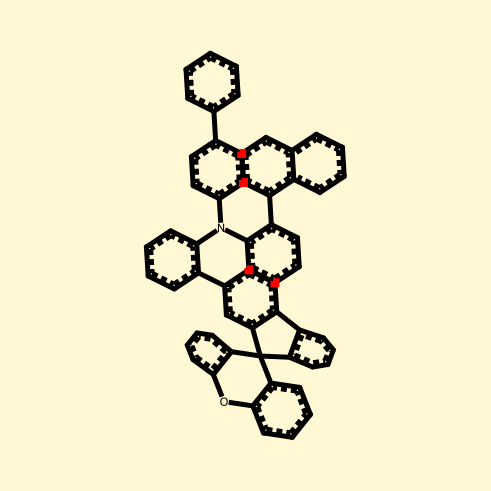 c1ccc(-c2ccc(N(c3ccccc3-c3ccc4c(c3)C3(c5ccccc5Oc5ccccc53)c3ccccc3-4)c3ccccc3-c3cccc4ccccc34)cc2)cc1